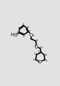 Oc1cccc(OCCOCC2CCOCC2)c1